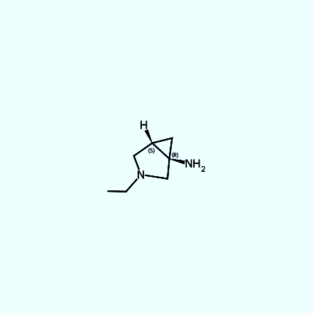 CCN1C[C@@H]2C[C@]2(N)C1